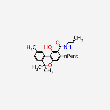 C=CCNC(=O)c1c(CCCCC)cc2c(c1O)-c1cc(C)ccc1C(C)(C)O2